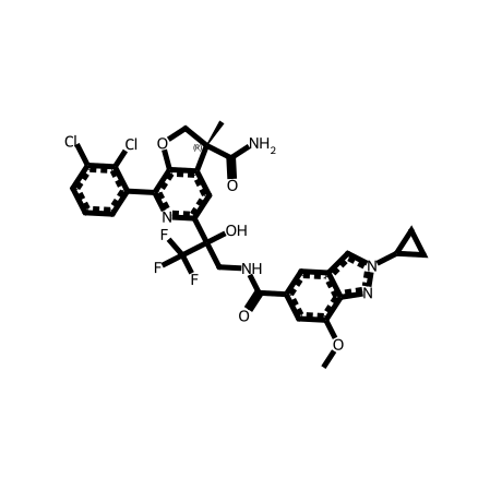 COc1cc(C(=O)NCC(O)(c2cc3c(c(-c4cccc(Cl)c4Cl)n2)OC[C@]3(C)C(N)=O)C(F)(F)F)cc2cn(C3CC3)nc12